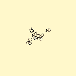 COc1cc2c(NC3CCCS(=O)(=O)C3)nc(-c3cnc(C)s3)nc2cc1OCCCN1CCCC1